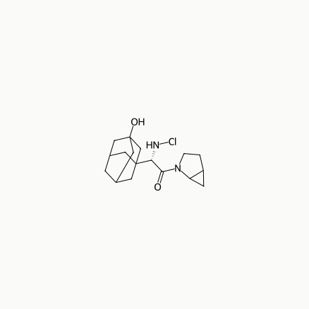 O=C([C@@H](NCl)C12CC3CC(CC(O)(C3)C1)C2)N1CCC2CC21